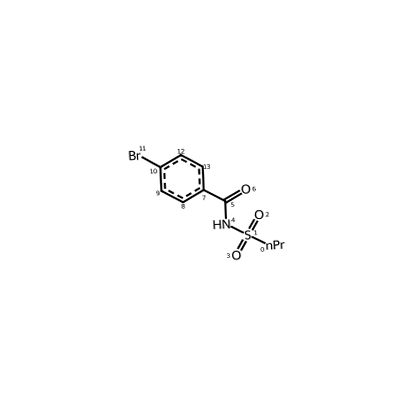 CCCS(=O)(=O)NC(=O)c1ccc(Br)cc1